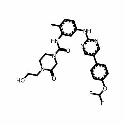 Cc1ccc(Nc2ncc(-c3ccc(OC(F)F)cc3)cn2)cc1NC(=O)N1CCN(CCO)C(=O)C1